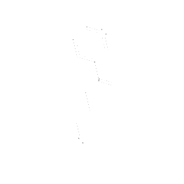 O=NCCCC(=O)c1cccnc1